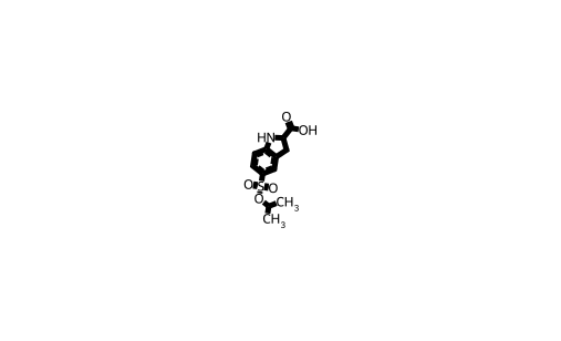 CC(C)OS(=O)(=O)c1ccc2c(c1)CC(C(=O)O)N2